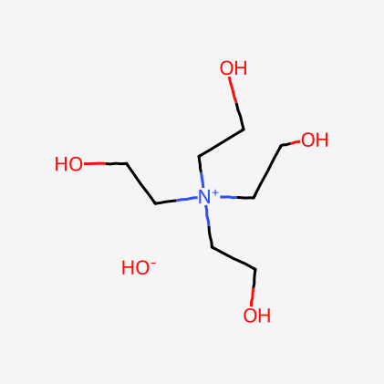 OCC[N+](CCO)(CCO)CCO.[OH-]